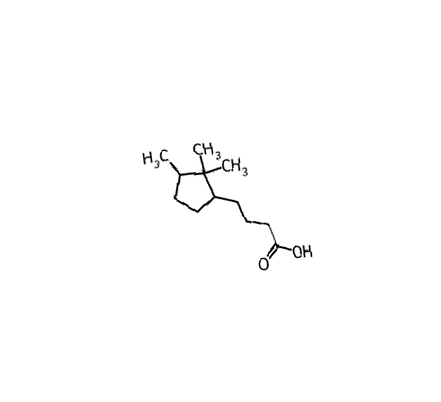 CC1CCC(CCCC(=O)O)C1(C)C